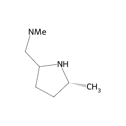 CNCC1CC[C@@H](C)N1